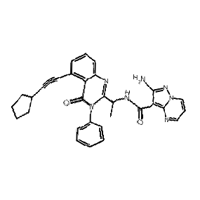 CC(NC(=O)c1c(N)nn2cccnc12)c1nc2cccc(C#CC3CCCC3)c2c(=O)n1-c1ccccc1